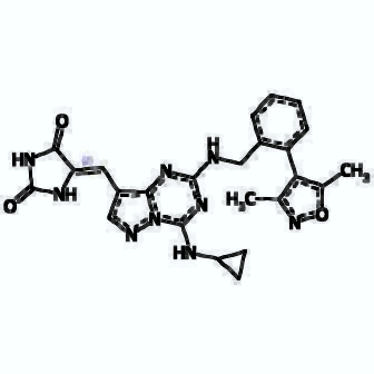 Cc1noc(C)c1-c1ccccc1CNc1nc(NC2CC2)n2ncc(/C=C3\NC(=O)NC3=O)c2n1